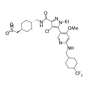 CCn1nc(C(=O)NC[C@H]2CC[C@H](C[SH](=O)=O)CC2)c(Cl)c1-c1cnc(NCC2CCC(C(F)(F)F)CC2)cc1OC